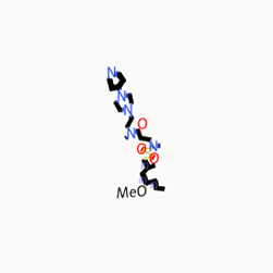 C/C=C/C(=C\C(C)=C\S(=O)(=O)N(C)CCC(=O)N(C)CCN1CCN(c2ccncc2)CC1)OC